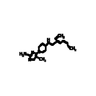 C=C/C=C\C=C(/C=C)CNC1CCN(c2nc(N)ncc2C)CC1